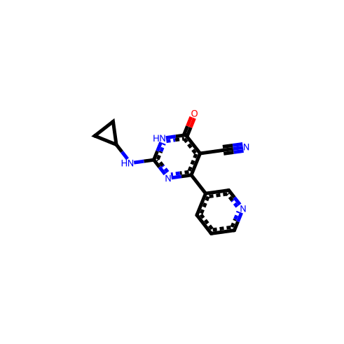 N#Cc1c(-c2cccnc2)nc(NC2CC2)[nH]c1=O